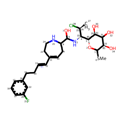 CSC1O[C@H]([C@H](NC(O)C2CC=C(/C=C/CCc3cccc(F)c3)CCN2)[C@H](C)Cl)[C@@H](O)C(O)[C@H]1O